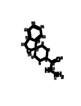 NNC(=O)[C@H]1CC[C@@]2(CC1)OCc1ccccc12